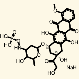 COc1cccc2c1C(=O)c1c(O)c3c(c(O)c1C2=O)C[C@@](O)(C(=O)CO)C[C@@H]3OC1CC(NOP(=O)(O)O)C(O)C(C)O1.[NaH]